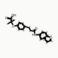 CC(C)(Oc1ccc(CCC(=O)Nc2ccc3occc3c2)cc1)C(=O)O